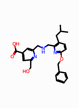 CC(C)Cc1ccc(OCc2ccccc2)nc1CNCc1cc(C(=O)O)cc(CO)n1